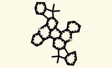 CC1(C)c2ccccc2-c2c1cc1c3c2oc2ccccc2c3c2cc3c(c4oc5ccccc5c1c42)-c1ccccc1C3(C)C